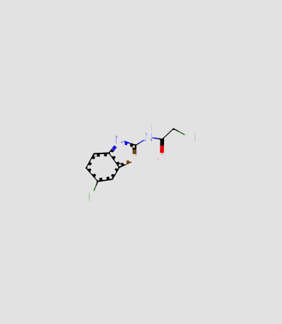 O=C(CCl)Nc1nc2ccc(F)cc2s1